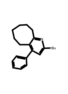 CC(C)(C)c1cc(-c2ccccc2)c2c(n1)CCCCCC2